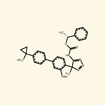 COc1cc(-c2ccc(C3(C(=O)O)CC3)cc2)ccc1C1(C)N=NN=C1NC(=O)O[C@H](C)c1ccccc1